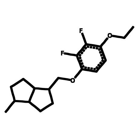 CCOc1ccc(OCC2CCC3C(C)CCC23)c(F)c1F